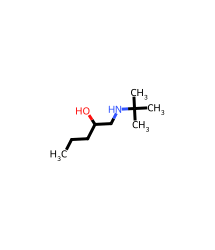 CCCC(O)CNC(C)(C)C